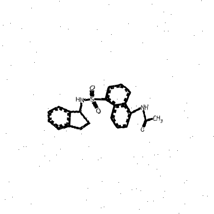 CC(=O)Nc1cccc2c(S(=O)(=O)NC3CCc4ccccc43)cccc12